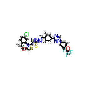 Cc1cc(-c2ncn(-c3ccc(OC(F)(F)F)cc3)n2)ccc1/C=N/NC(=S)/C=C1\SCC(=O)N1c1cc(Cl)ccc1C(C)C